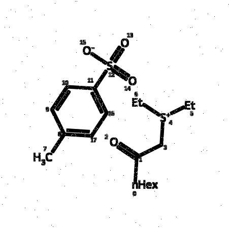 CCCCCCC(=O)C[S+](CC)CC.Cc1ccc(S(=O)(=O)[O-])cc1